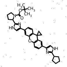 CC(C)(C)OC(=O)N1CCCC1c1nc(-c2ccc3c(c2)Oc2ccc(-c4c[nH]c(C5CCCC5)n4)cc2C32CC2)c[nH]1